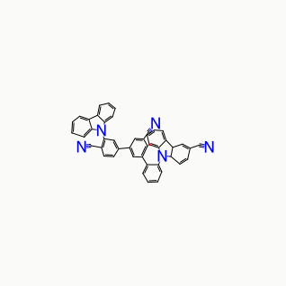 N#CC1=CC2c3ccccc3N(c3ccccc3-c3cc(C#N)cc(-c4ccc(C#N)c(-n5c6ccccc6c6ccccc65)c4)c3)C2C=C1